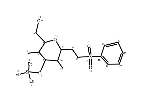 CC[Si](CC)(CC)OC1C(C)C(CO)OC(CCS(=O)(=O)c2ccccc2)C1C